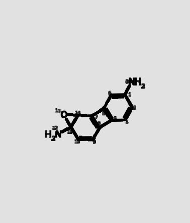 Nc1ccc2c(c1)C1=C2C=CC2(N)OC12